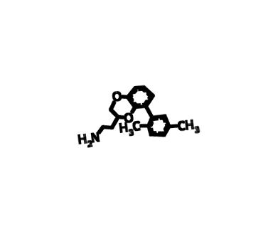 Cc1ccc(C)c(-c2cccc3c2OC(CCN)CO3)c1